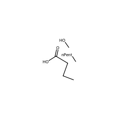 CCCC(=O)O.CCCCCC.CO